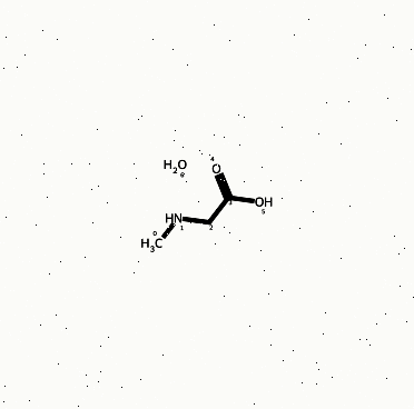 CNCC(=O)O.O